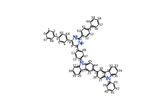 c1ccc(-c2ccc(-c3cc(-c4ccc(-n5c6ccccc6c6cc(-c7ccc8c(c7)c7ccccc7n8-c7ccccc7)ccc65)cc4)nc(-c4ccc(-c5ccccc5)cc4)n3)cc2)cc1